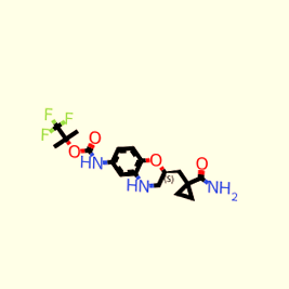 CC(C)(OC(=O)Nc1ccc2c(c1)NC[C@H](CC1(C(N)=O)CC1)O2)C(F)(F)F